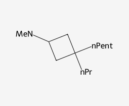 CCCCCC1(CCC)CC(NC)C1